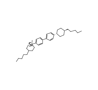 CCCCCC1CC[Si](C)(c2ccc(-c3ccc([C@H]4CC[C@H](CCCCC)CC4)cc3)cc2)CC1